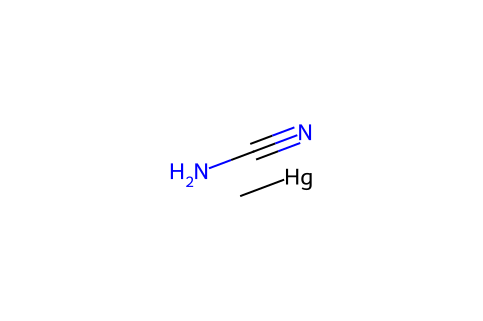 N#CN.[CH3][Hg]